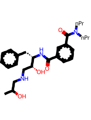 CCCN(CCC)C(=O)c1cccc(C(=O)N[C@@H](Cc2ccccc2)[C@H](O)CNCC(C)O)c1